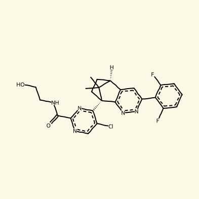 CC1(C)[C@H]2CC[C@]1(c1nc(C(=O)NCCO)ncc1Cl)c1nnc(-c3c(F)cccc3F)cc12